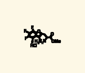 COC(=O)C(N)Cc1oc2c(F)c(F)c(F)c(F)c2c1C.Cl